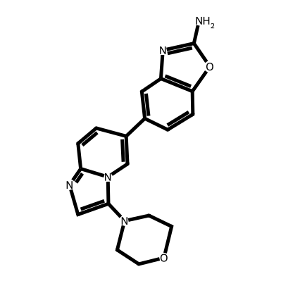 Nc1nc2cc(-c3ccc4ncc(N5CCOCC5)n4c3)ccc2o1